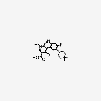 CCn1cc(C(=O)O)c(=O)c2c3cc(N4CCC(C)(C)CC4)c(F)cc3ncc21